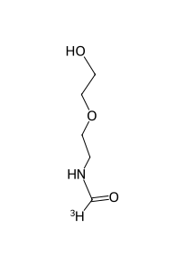 [3H]C(=O)NCCOCCO